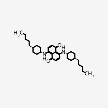 CCCCC[C@H]1CC[C@H](NC2=C3C(=O)C=CC(N[C@H]4CC[C@H](CCCCC)CC4)=C3C(=O)C=C2)CC1